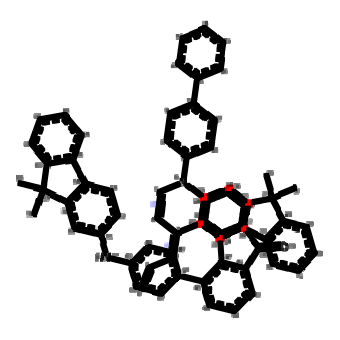 C=C/C=C(\C=C/N(c1ccc(-c2ccccc2)cc1)c1ccc2c(c1)C(C)(C)c1ccccc1-2)c1cccc2c1-c1c(cccc1-c1ccc(Nc3ccc4c(c3)C(C)(C)c3ccccc3-4)cc1)C2=O